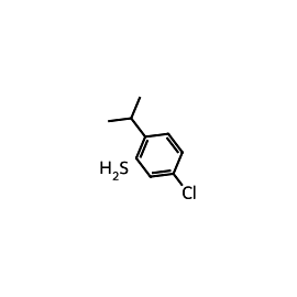 CC(C)c1ccc(Cl)cc1.S